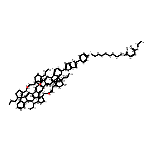 CCCC12CCC(CCC)(CC1)C21c2ccccc2-c2cc3c(cc21)-c1cc2c(cc1C31C3(CCC)CCC1(CCC)CC3)-c1cc3c(cc1C21C2(CCC)CCC1(CCC)CC2)-c1ccc(-c2cc4sc(-c5ccc(OCCCCCCCCOC(=O)/C=C\C(=O)OCC)cc5)cc4s2)cc1C31C2(CCC)CCC1(CCC)CC2